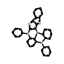 c1ccc(N2c3ccccc3B3c4c2cccc4N(c2ccccc2)c2oc4c(sc5ccccc54)c23)cc1